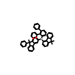 CC1(C)c2ccccc2-c2c(N(c3ccc4c(c3)-c3ccccc3C4(C)c3ccccc3)c3cccc(-c4ccccc4)c3-c3ccccc3)cccc21